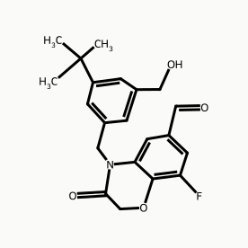 CC(C)(C)c1cc(CO)cc(CN2C(=O)COc3c(F)cc(C=O)cc32)c1